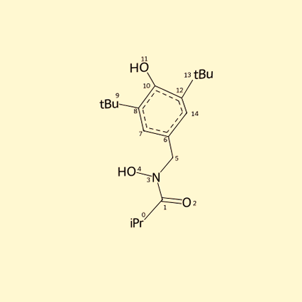 CC(C)C(=O)N(O)Cc1cc(C(C)(C)C)c(O)c(C(C)(C)C)c1